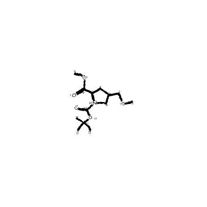 COCC1CC(C(=O)OC)N(C(=O)OC(C)(C)C)C1